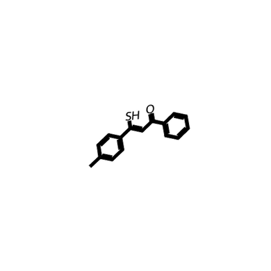 Cc1ccc(C(S)=CC(=O)c2ccccc2)cc1